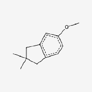 COc1ccc2c(c1)CC(C)(C)C2